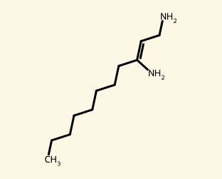 CCCCCCCCC(N)=CCN